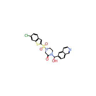 O=C1CN(S(=O)(=O)c2cc3ccc(Cl)cc3s2)CCN1C(O)c1ccc2cnccc2c1